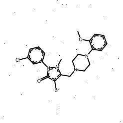 COc1ccccc1N1CCN(Cc2c(Br)c(=O)n(-c3cccc(Cl)c3)n2C)CC1